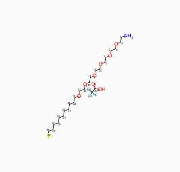 NCCOCCOCCOCCOCCOCCOCCCCCCCCCCCS.O=C(O)C(F)(F)F